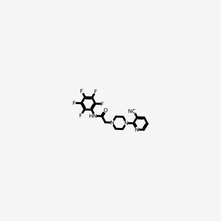 N#Cc1cccnc1N1CCN(CC(=O)Nc2c(F)c(F)c(F)c(F)c2F)CC1